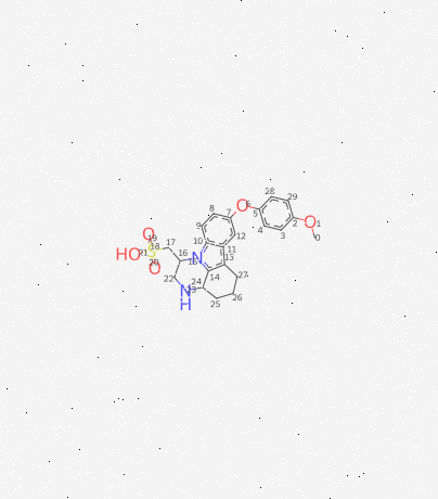 COc1ccc(Oc2ccc3c(c2)c2c4n3C(CS(=O)(=O)O)CNC4CCC2)cc1